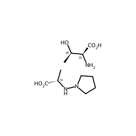 C[C@@H](O)[C@H](N)C(=O)O.C[C@H](NN1CCCC1)C(=O)O